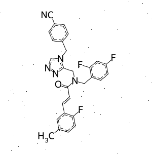 Cc1ccc(F)c(/C=C/C(=O)N(Cc2ccc(F)cc2F)Cc2nncn2Cc2ccc(C#N)cc2)c1